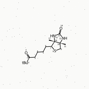 CC(C)(C)C(=O)CCCCC1SC[C@@]2(C)NC(=O)N[C@@]12C